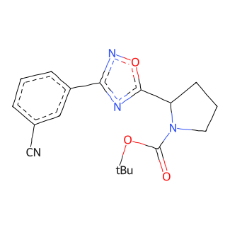 CC(C)(C)OC(=O)N1CCCC1c1nc(-c2cccc(C#N)c2)no1